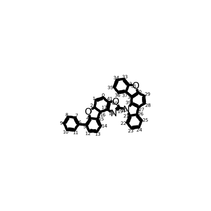 C1=CC2Oc3c(-c4ccccc4)cccc3C2c2nc(-n3c4ccccc4c4ccc5oc6ccccc6c5c43)oc21